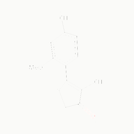 COc1cc(C)ccc1C1=C(C)C(=O)CC1